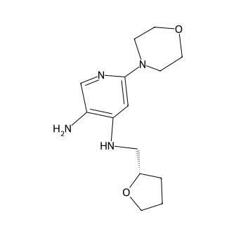 Nc1cnc(N2CCOCC2)cc1NC[C@@H]1CCCO1